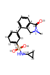 CN1Cc2c(cccc2-c2cccc(S(=O)(=O)NC3CC3)c2)C1=O